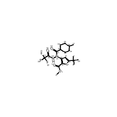 COC(=O)c1sc(C(C)(C)C)cc1N(NC(=O)C(F)(F)F)C(=O)C1CCC(C)CC1